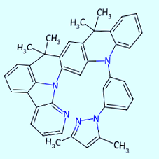 Cc1cc(C)n(-c2cccc(N3c4ccccc4C(C)(C)c4cc5c(cc43)-n3c4ncccc4c4cccc(c43)C5(C)C)c2)n1